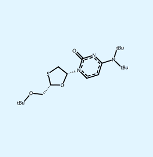 CC(C)(C)OC[C@H]1O[C@@H](n2ccc(N(C(C)(C)C)C(C)(C)C)nc2=O)CS1